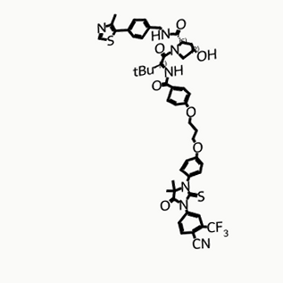 Cc1ncsc1-c1ccc(CNC(=O)[C@@H]2C[C@@H](O)CN2C(=O)[C@@H](NC(=O)c2ccc(OCCCOc3ccc(N4C(=S)N(c5ccc(C#N)c(C(F)(F)F)c5)C(=O)C4(C)C)cc3)cc2)C(C)(C)C)cc1